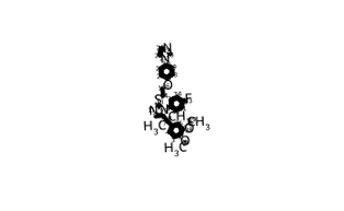 COc1ccc(C(C)(C)c2cnc(SCCOc3ccc(-n4ccnc4)cc3)n2-c2ccc(F)cc2)cc1OC